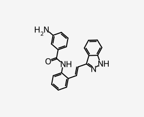 Nc1cccc(C(=O)Nc2ccccc2C=Cc2n[nH]c3ccccc23)c1